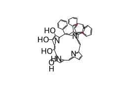 OC1=C(O)c2nc1c(O)c1[nH]c(cc3nc(cc4c(-c5ccccc5)c(-c5ccccc5)c(c2-c2ccccc2)n4-c2ccccc2)C=C3)cc1O